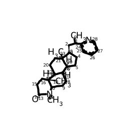 CC(C[C@H]1CC[C@H]2[C@@H]3CCC4N(C)C(=O)CC[C@]4(C)[C@H]3CC[C@]12C)c1ccccn1